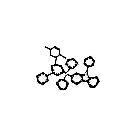 CC1C=CC(C)C(c2cc(-c3ccccc3)cc(S(c3ccccc3)(c3ccccc3)c3ccc4c5ccccc5n(-c5ccccc5)c4c3)c2)C1